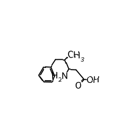 CC(Cc1ccccc1)C(N)CC(=O)O